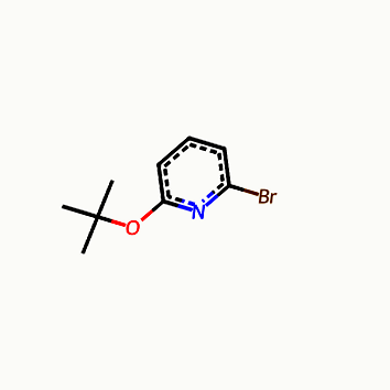 CC(C)(C)Oc1cccc(Br)n1